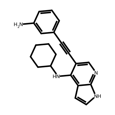 Nc1cccc(C#Cc2cnc3[nH]ccc3c2NC2CCCCC2)c1